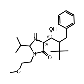 COCCN1C(=O)[C@H]([C@H](O)[C](Cc2ccccc2)C(C)(C)C)NC1C(C)C